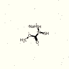 COC(=O)N(S)S.[NaH]